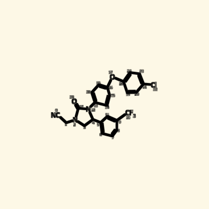 N#CCN1CC(c2cccc(C(F)(F)F)c2)N(c2ccc(Oc3ccc(Cl)cc3)cc2)C1=O